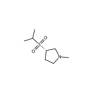 CC(C)S(=O)(=O)[C@H]1CCN(C)C1